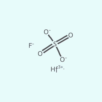 O=S(=O)([O-])[O-].[F-].[Hf+3]